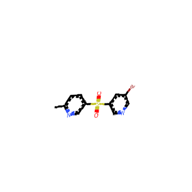 Cc1ccc(S(=O)(=O)c2cncc(Br)c2)cn1